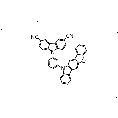 N#Cc1ccc2c(c1)c1cc(C#N)ccc1n2-c1cccc(-n2c3ccccc3c3cc4oc5ccccc5c4cc32)c1